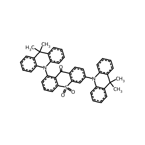 CC1(C)c2ccccc2N(c2ccc3c(c2)S(=O)(=O)c2cccc(N4c5ccccc5C(C)(C)c5ccccc54)c2C3=O)c2ccccc21